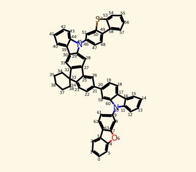 c1ccc2c(c1)oc1cc(-n3c4ccccc4c4ccc(-c5ccc6c(c5)-c5cc7c(cc5C65CCCCC5)c5ccccc5n7-c5ccc6c(c5)sc5ccccc56)cc43)ccc12